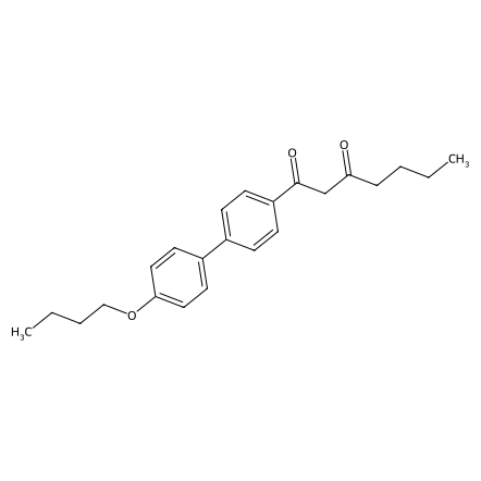 CCCCOc1ccc(-c2ccc(C(=O)CC(=O)CCCC)cc2)cc1